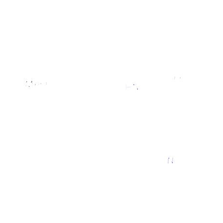 COc1cccc(CNC(=O)C2CCN(C)CC2)c1